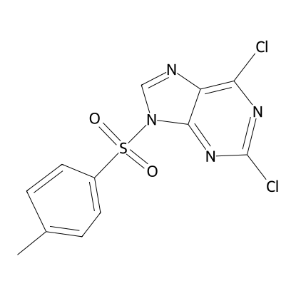 Cc1ccc(S(=O)(=O)n2cnc3c(Cl)nc(Cl)nc32)cc1